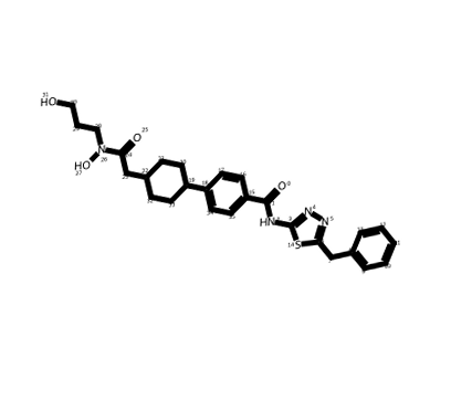 O=C(Nc1nnc(Cc2ccccc2)s1)c1ccc(C2CCC(CC(=O)N(O)CCCO)CC2)cc1